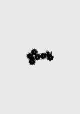 Cc1nc2ccccc2n1-c1ccc(-c2ccc3c(c2)-c2ccccc2-c2cccc4c5ccccc5n-3c24)cc1